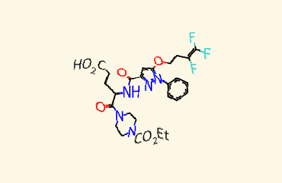 CCOC(=O)N1CCN(C(=O)C(CCC(=O)O)NC(=O)c2cc(OCCC(F)=C(F)F)n(-c3ccccc3)n2)CC1